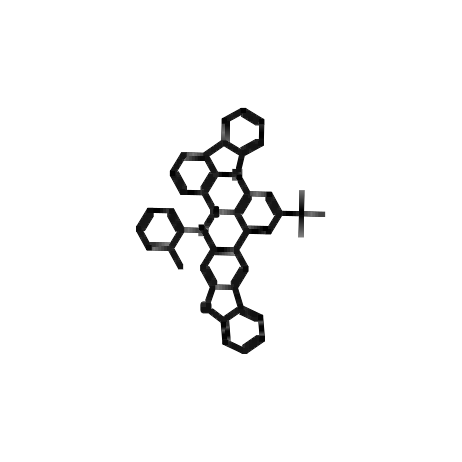 Cc1ccccc1N1B2c3c(cc(C(C)(C)C)cc3-n3c4ccccc4c4cccc2c43)-c2cc3c(cc21)oc1ccccc13